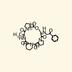 C[C@@H]1NC(=O)[C@@H]2CCCCN2C(=O)[C@@H]2CCCN2C(=O)[C@@H](NCC(=O)c2ccccc2)COC(=O)[C@@H]2CCCN2C1=O